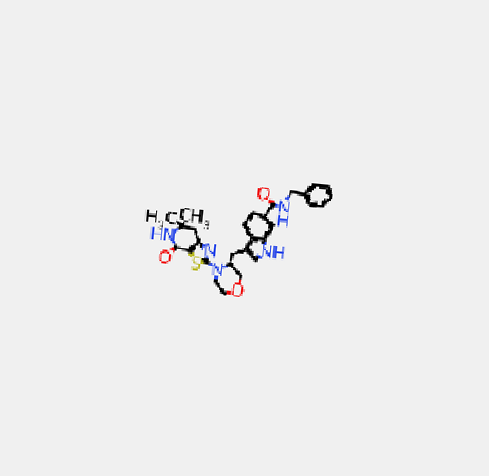 CC1(C)Cc2nc(N3CCOC[C@@H]3Cc3c[nH]c4cc(C(=O)NCc5ccccc5)ccc34)sc2C(=O)N1